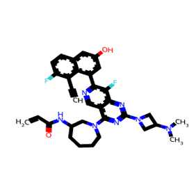 C#Cc1c(F)ccc2cc(O)cc(-c3ncc4c(N5CCCCC(NC(=O)C=C)C5)nc(N5CC(N(C)C)C5)nc4c3F)c12